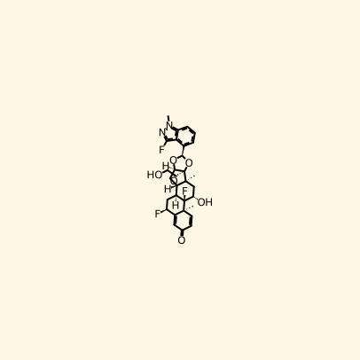 Cn1nc(F)c2c([C@@H]3O[C@@H]4C[C@H]5[C@@H]6C[C@H](F)C7=CC(=O)C=C[C@]7(C)[C@@]6(F)[C@@H](O)C[C@]5(C)[C@]4(C(=O)CO)O3)cccc21